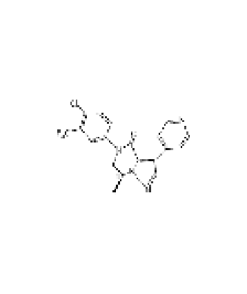 C[C@H]1CN(c2ccc(Cl)c(C(F)(F)F)c2)C(=O)c2c(-c3ccncc3)cnn21